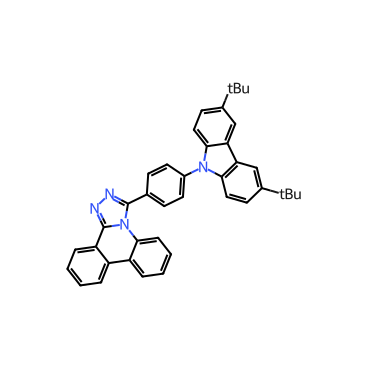 CC(C)(C)c1ccc2c(c1)c1cc(C(C)(C)C)ccc1n2-c1ccc(-c2nnc3c4ccccc4c4ccccc4n23)cc1